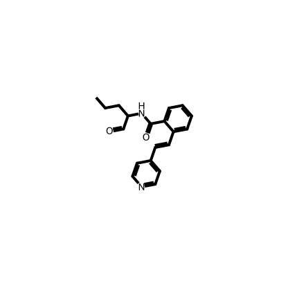 CCCC(C=O)NC(=O)c1ccccc1C=Cc1ccncc1